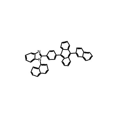 c1ccc2cc(-c3c4ccccc4c(-c4ccc(-c5nc6ccccc6n5-c5cccc6ccccc56)cc4)c4ccccc34)ccc2c1